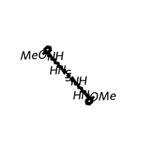 COc1ccccc1CNCCCCCCNCCSSCCNCCCCCCNCc1ccccc1OC